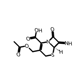 CC(=O)OCC1=C(C(=O)O)N2C(=O)C(=N)[C@H]2SC1